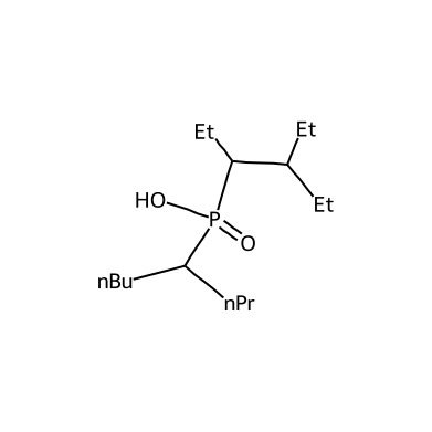 CCCCC(CCC)P(=O)(O)C(CC)C(CC)CC